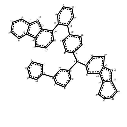 c1ccc(-c2cccc(N(c3ccc(-c4ccccc4-c4cccc5c4sc4ccccc45)cc3)c3ccc4oc5ccccc5c4c3)c2)cc1